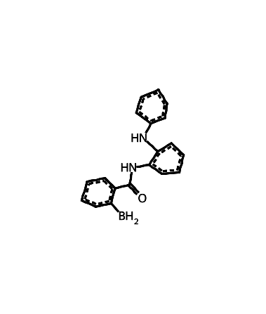 Bc1ccccc1C(=O)Nc1ccccc1Nc1ccccc1